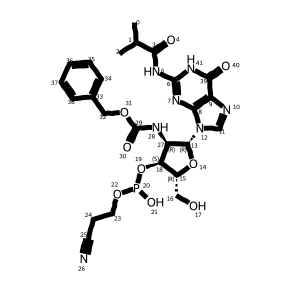 CC(C)C(=O)Nc1nc2c(ncn2[C@@H]2O[C@H](CO)[C@@H](OP(O)OCCC#N)[C@H]2NC(=O)OCc2ccccc2)c(=O)[nH]1